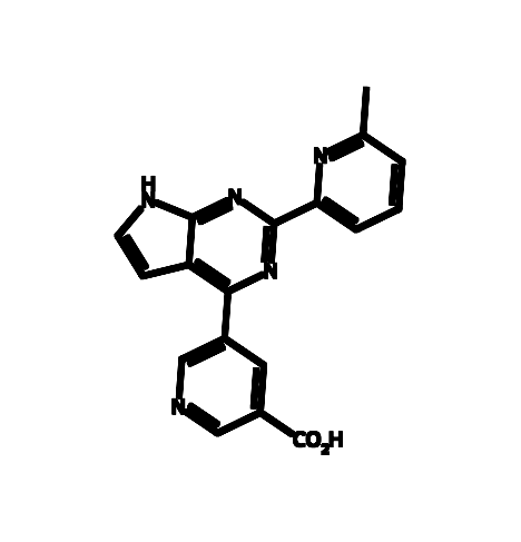 Cc1cccc(-c2nc(-c3cncc(C(=O)O)c3)c3cc[nH]c3n2)n1